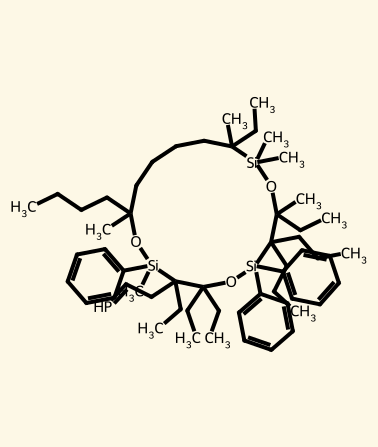 CCCCC1(C)CCCCC(C)(CC)[Si](C)(C)OC(C)(CC)C(CCC)(CCC)[Si](c2ccccc2)(c2ccccc2)OC(CC)(CC)C(CC)(CC=P)[Si](C)(c2ccccc2)O1